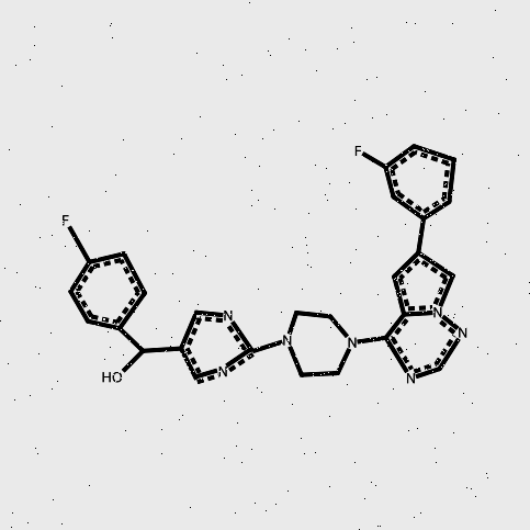 OC(c1ccc(F)cc1)c1cnc(N2CCN(c3ncnn4cc(-c5cccc(F)c5)cc34)CC2)nc1